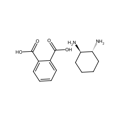 N[C@@H]1CCCC[C@H]1N.O=C(O)c1ccccc1C(=O)O